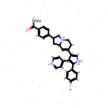 CNC(=O)c1ccc(C2CC3C=C(c4c[nH]c(-c5ccc(F)cc5)c4-c4ccncc4)CCN3C2)cc1